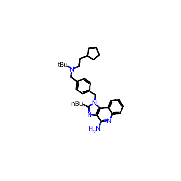 CCCCc1nc2c(N)nc3ccccc3c2n1Cc1ccc(CN(CCC2CCCC2)C(C)(C)C)cc1